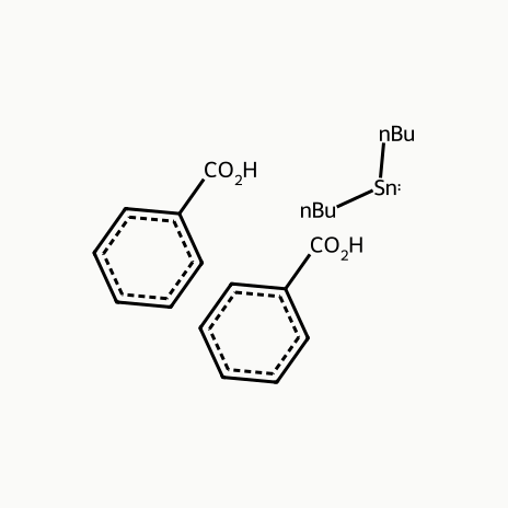 CCC[CH2][Sn][CH2]CCC.O=C(O)c1ccccc1.O=C(O)c1ccccc1